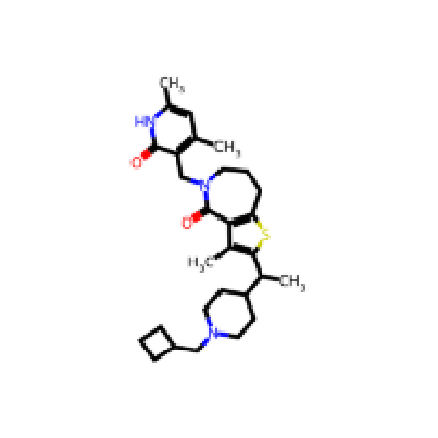 Cc1cc(C)c(CN2CCCc3sc(C(C)C4CCN(CC5CCC5)CC4)c(C)c3C2=O)c(=O)[nH]1